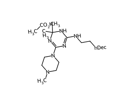 CC(=O)O.CCCCCCCCCCCCNC1=NC(N2CCN(C)CC2)=NC(C)(C)N1